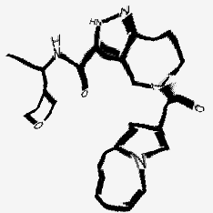 CC(NC(=O)c1[nH]nc2c1CN(C(=O)c1cc3ccccn3c1)CC2)C1COC1